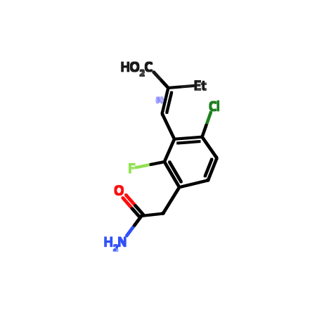 CC/C(=C\c1c(Cl)ccc(CC(N)=O)c1F)C(=O)O